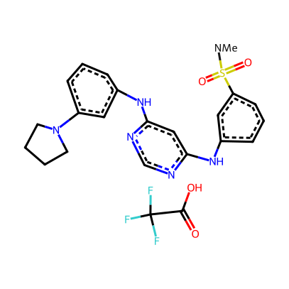 CNS(=O)(=O)c1cccc(Nc2cc(Nc3cccc(N4CCCC4)c3)ncn2)c1.O=C(O)C(F)(F)F